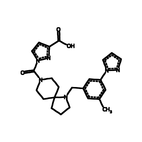 Cc1cc(CN2CCCC23CCN(C(=O)n2ccc(C(=O)O)n2)CC3)cc(-n2cccn2)c1